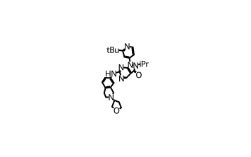 CC(C)n1c(=O)c2cnc(Nc3ccc4c(c3)CN(C3CCOC3)CC4)nc2n1-c1ccnc(C(C)(C)C)c1